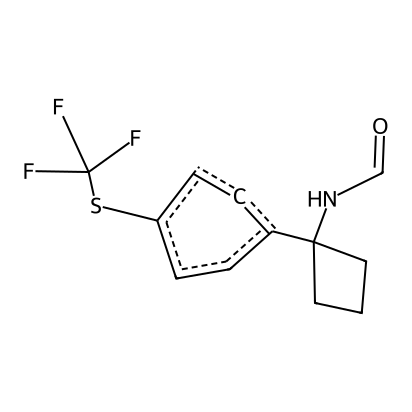 O=CNC1(c2ccc(SC(F)(F)F)cc2)CCC1